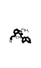 Cn1cc(Cc2ccc3ccccc3c2)c2c(C(O)=CC#N)cccc21